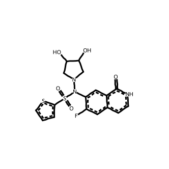 O=c1[nH]ccc2cc(F)c(N(N3CC(O)C(O)C3)S(=O)(=O)c3cccs3)cc12